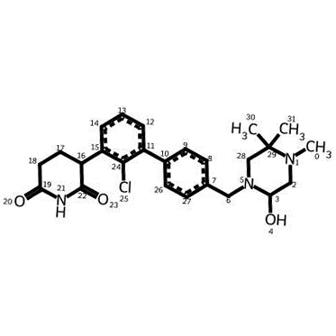 CN1CC(O)N(Cc2ccc(-c3cccc(C4CCC(=O)NC4=O)c3Cl)cc2)CC1(C)C